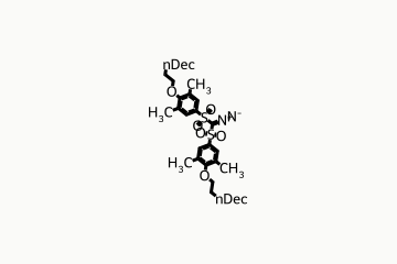 CCCCCCCCCCCCOc1c(C)cc(S(=O)(=O)C(=[N+]=[N-])S(=O)(=O)c2cc(C)c(OCCCCCCCCCCCC)c(C)c2)cc1C